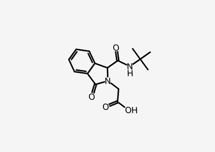 CC(C)(C)NC(=O)C1c2ccccc2C(=O)N1CC(=O)O